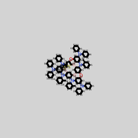 Cc1ccccc1N1c2cc3c(cc2B2c4cc5c(cc4Oc4cc(N(c6ccccc6)c6ccccc6)cc1c42)N(c1ccccc1C)c1cc(N(c2ccccc2)c2ccccc2)cc2c1B5c1sc(C(C)(C)C)cc1O2)B1c2sc(C(C)(C)C)cc2N(c2ccccc2)c2cc(N(c4ccccc4)c4ccccc4)cc(c21)N3c1ccccc1C